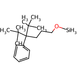 CC(C)(C)C(CCCO[SiH3])(c1ccccc1)C(C)(C)C